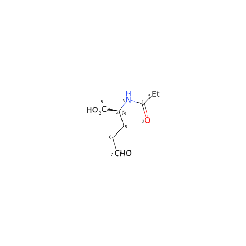 CCC(=O)N[C@@H](CCC=O)C(=O)O